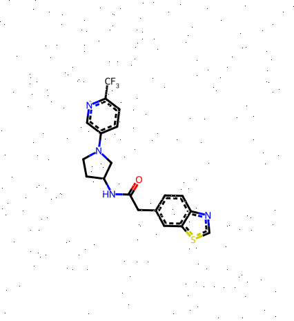 O=C(Cc1ccc2ncsc2c1)NC1CCN(c2ccc(C(F)(F)F)nc2)C1